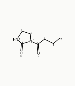 CCCC(=O)N1CCNC1=O